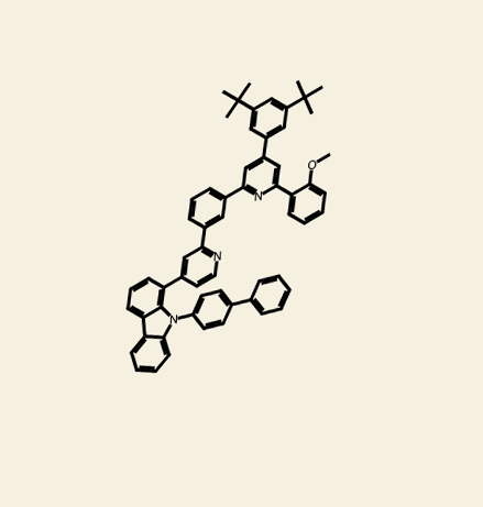 COc1ccccc1-c1cc(-c2cc(C(C)(C)C)cc(C(C)(C)C)c2)cc(-c2cccc(-c3cc(-c4cccc5c6ccccc6n(-c6ccc(-c7ccccc7)cc6)c45)ccn3)c2)n1